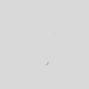 C=C(C)C(COCCOCCOCC)OCCO